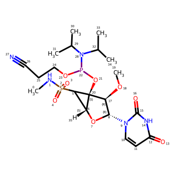 CNS(=O)(=O)C1[C@H]2O[C@@H](n3ccc(=O)[nH]c3=O)[C@H](OC)[C@@]12OP(OCCC#N)N(C(C)C)C(C)C